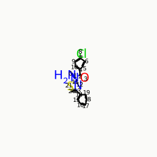 NN(C(=O)c1ccc(Cl)cc1)c1nc(-c2ccccc2)cs1